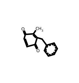 CC1=C(Cc2ccccc2)C(=O)C=CC1=O